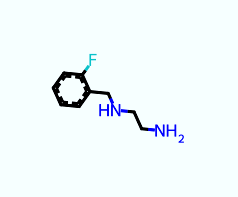 NCCNCc1ccccc1F